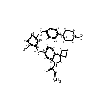 C=CC(=O)N1CC2(CCC2)c2ccc(Nc3nc(Nc4ccc(N5CCN(C)CC5)cc4)ncc3F)cc21